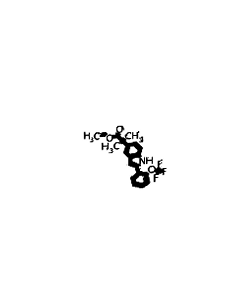 CCOC(=O)C(C)(C)c1ccc2[nH]c(-c3ccccc3OC(F)(F)F)cc2c1